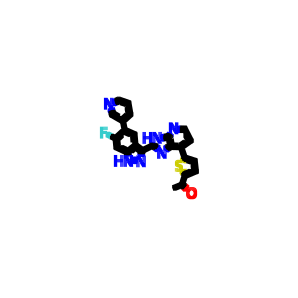 CC(=O)c1ccc(-c2ccnc3[nH]c(-c4n[nH]c5cc(F)c(-c6cccnc6)cc45)nc23)s1